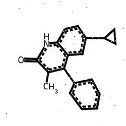 Cc1c(-c2ccccc2)c2cc(C3CC3)ccc2[nH]c1=O